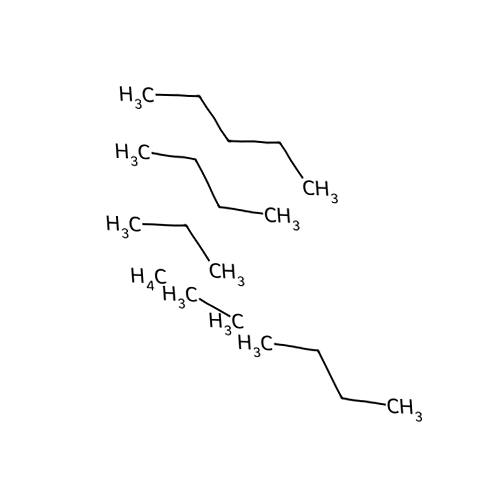 C.CC.CCC.CCCC.CCCC.CCCCC